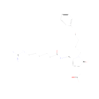 N=C(N)NCCCCCC(=O)NC[C@@H]1C[C@@H](CC(=O)O)C(=O)N1CCCCOc1ccccc1